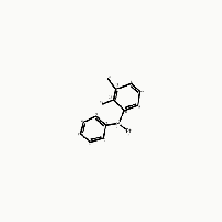 CCP(c1ccccc1)c1cccc(C)c1C